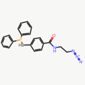 [N-]=[N+]=NCCNC(=O)c1ccc(BP(c2ccccc2)c2ccccc2)cc1